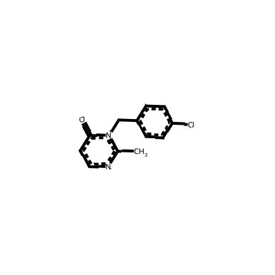 Cc1nccc(=O)n1Cc1ccc(Cl)cc1